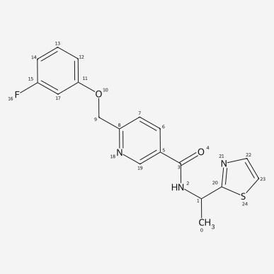 CC(NC(=O)c1ccc(COc2cccc(F)c2)nc1)c1nccs1